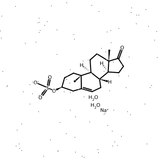 C[C@]12CC[C@H](OS(=O)(=O)[O-])CC1=CC[C@@H]1[C@@H]2CC[C@]2(C)C(=O)CC[C@@H]12.O.O.[Na+]